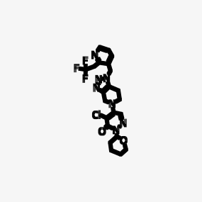 O=c1c(Cl)c(N2CCc3c(nnn3Cc3cccnc3CC(F)(F)F)C2)cnn1C1CCCCO1